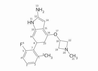 Cc1cccc(F)c1C1C=c2[nH]c(N)cc2=C(OC2CN(C)C2)C1